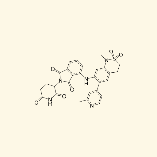 Cc1cc(-c2cc3c(cc2Nc2cccc4c2C(=O)N(C2CCC(=O)NC2=O)C4=O)N(C)S(=O)(=O)CC3)ccn1